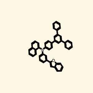 c1ccc(-c2cc(-c3ccccc3)cc(-c3ccc(N(c4cccc(-c5cc6ccccc6o5)c4)c4cccc5ccccc45)cc3)c2)cc1